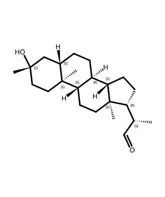 C[C@H](C=O)[C@H]1CC[C@H]2[C@@H]3CC[C@H]4C[C@@](C)(O)CC[C@]4(C)[C@H]3CC[C@]12C